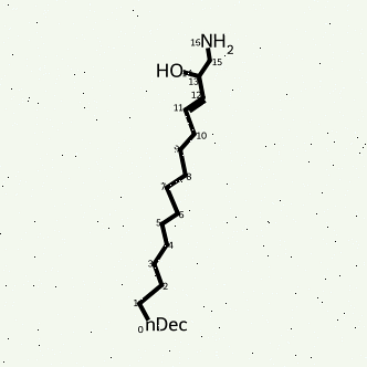 CCCCCCCCCCCCCCCCCCCCC=CC(O)CN